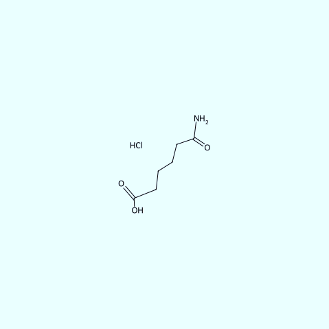 Cl.NC(=O)CCCCC(=O)O